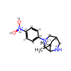 CC1(C)CC2CNC1CN(c1ccc([N+](=O)[O-])cc1)C2